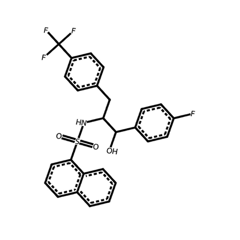 O=S(=O)(NC(Cc1ccc(C(F)(F)F)cc1)C(O)c1ccc(F)cc1)c1cccc2ccccc12